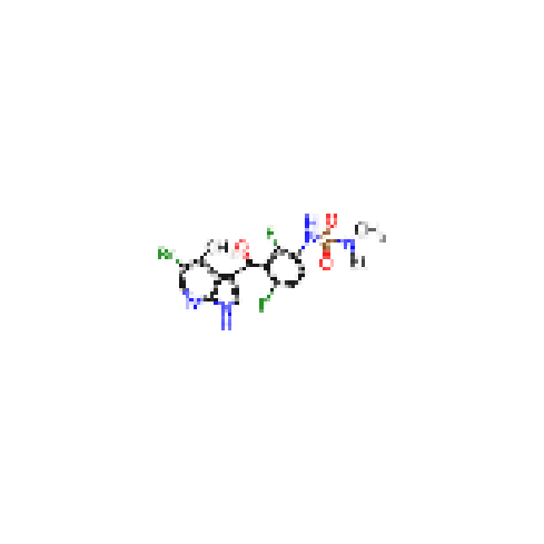 CCN(C)S(=O)(=O)Nc1ccc(F)c(C(=O)c2c[nH]c3ncc(Br)c(C)c23)c1F